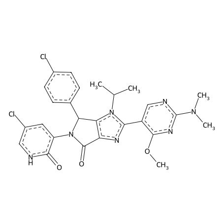 COc1nc(N(C)C)ncc1-c1nc2c(n1C(C)C)C(c1ccc(Cl)cc1)N(c1cc(Cl)c[nH]c1=O)C2=O